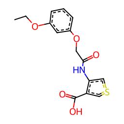 CCOc1cccc(OCC(=O)Nc2cscc2C(=O)O)c1